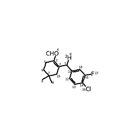 [2H]C(C1=C(C=O)CCC(C)(C)C1)c1ccc(Cl)c(F)c1